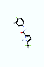 CCOC(=O)C(F)(F)c1ccc(C(=O)Nc2ccc(F)c(C)c2)n1C